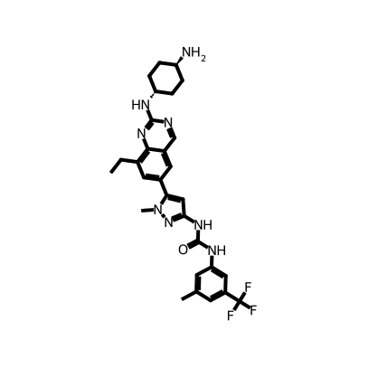 CCc1cc(-c2cc(NC(=O)Nc3cc(C)cc(C(F)(F)F)c3)nn2C)cc2cnc(N[C@H]3CC[C@H](N)CC3)nc12